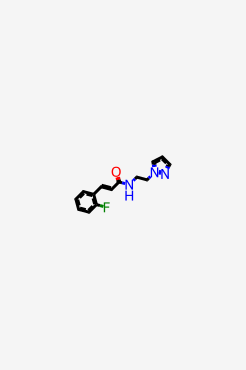 O=C(/C=C/c1ccccc1F)NCCn1cccn1